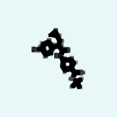 CC(C)(C)OC(=O)c1ccc(NC(=O)C(CC2CC2)c2ccc(Br)cn2)cc1